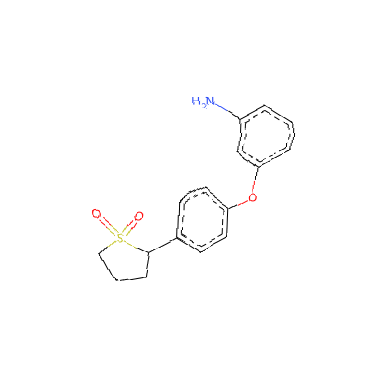 Nc1cccc(Oc2ccc(C3CCCS3(=O)=O)cc2)c1